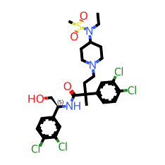 CCN(C1CCN(CCC(C)(C(=O)N[C@H](CO)c2ccc(Cl)c(Cl)c2)c2ccc(Cl)c(Cl)c2)CC1)S(C)(=O)=O